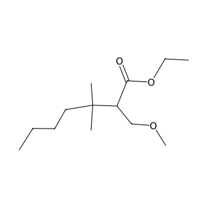 CCCCC(C)(C)C(COC)C(=O)OCC